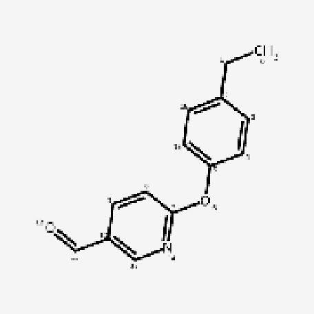 CCc1ccc(Oc2ccc(C=O)cn2)cc1